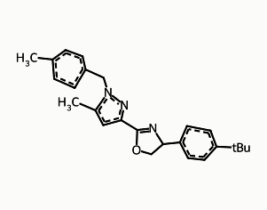 Cc1ccc(Cn2nc(C3=NC(c4ccc(C(C)(C)C)cc4)CO3)cc2C)cc1